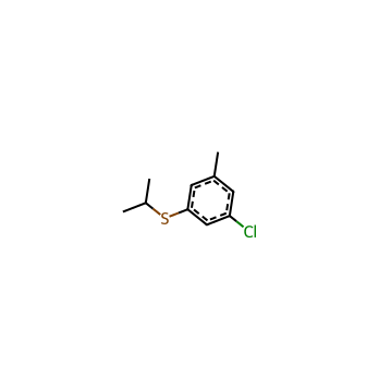 Cc1cc(Cl)cc(SC(C)C)c1